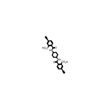 C#Cc1ccc(C(=O)NC2CCC(NC(=O)c3ccc(C#C)cc3C(=O)O)CC2)c(C(=O)O)c1